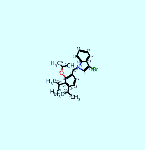 CC(C)Oc1c(Cn2cc(Br)c3ccccc32)ccc(C(C)C)c1C(C)C